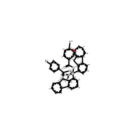 C[Si](C)=[Ti]([O]C(=O)c1ccc(F)cc1)([O]C(=O)c1ccc(F)cc1)([c]1cccc2c1Cc1ccccc1-2)[c]1cccc2c1Cc1ccccc1-2